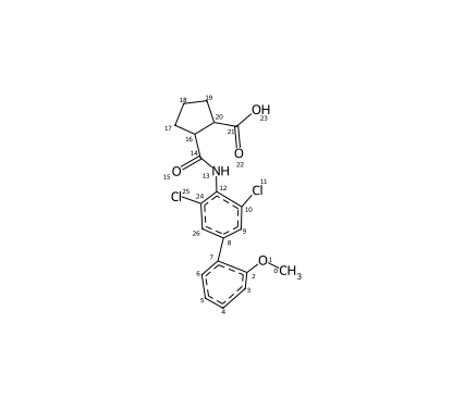 COc1ccccc1-c1cc(Cl)c(NC(=O)C2CCCC2C(=O)O)c(Cl)c1